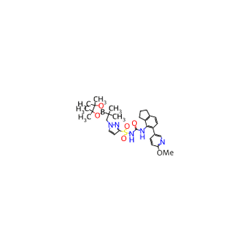 COc1ccc(-c2ccc3c(c2NC(=O)NS(=O)(=O)c2ccn(CC(C)(C)B4OC(C)(C)C(C)(C)O4)n2)CCC3)cn1